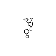 CNc1ccc(Oc2cccc(Cl)c2)cc1C=N